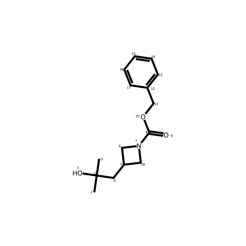 CC(C)(O)CC1CN(C(=O)OCc2ccccc2)C1